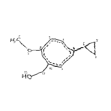 COc1ccc(C2CC2)cc1CO